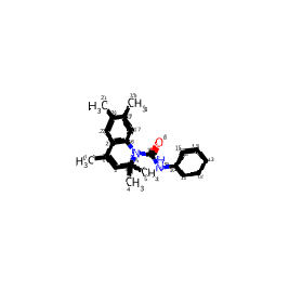 CC1=CC(C)(C)N(C(=O)NC2CCCCC2)c2cc(C)c(C)cc21